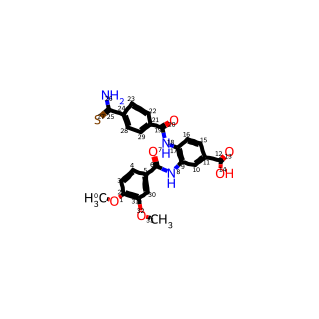 COc1ccc(C(=O)Nc2cc(C(=O)O)ccc2NC(=O)c2ccc(C(N)=S)cc2)cc1OC